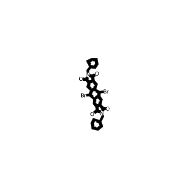 O=c1c2cc3c(Br)c4cc5c(=O)n(Cc6ccccc6)c(=O)c5cc4c(Br)c3cc2c(=O)n1Cc1ccccc1